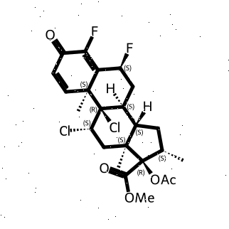 COC(=O)[C@@]1(OC(C)=O)[C@@H](C)C[C@H]2[C@@H]3C[C@H](F)C4=C(F)C(=O)C=C[C@]4(C)[C@@]3(Cl)[C@@H](Cl)C[C@@]21C